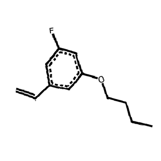 C=[C]c1cc(F)cc(OCCCC)c1